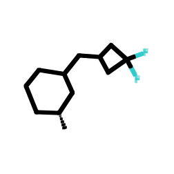 C[C@@H]1CCCC(CC2CC(F)(F)C2)C1